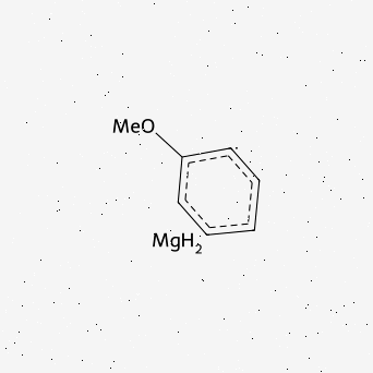 COc1[c]cccc1.[MgH2]